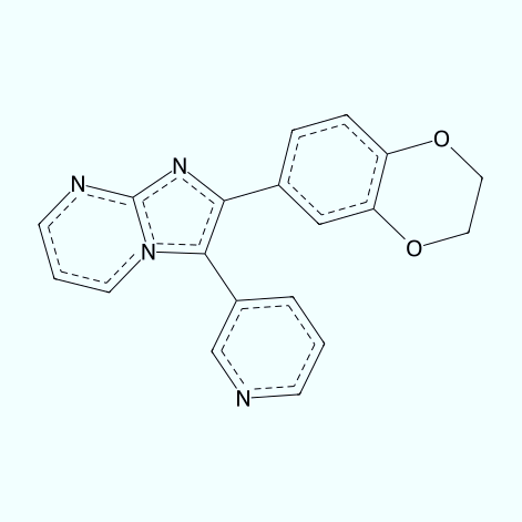 c1cncc(-c2c(-c3ccc4c(c3)OCCO4)nc3ncccn23)c1